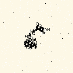 C=C[C@@]1(C)CC(=O)[C@]2(O)[C@@]3(C)[C@@H](O)CCC(C)(C)[C@@H]3[C@H](OC(=O)NCCN(C)C(=O)OCc3cc(=O)oc4cc(O)c(Br)cc34)[C@H](OC(C)=O)[C@@]2(C)O1